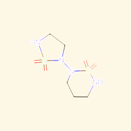 O=S1(=O)NCCCN1N1CCNS1(=O)=O